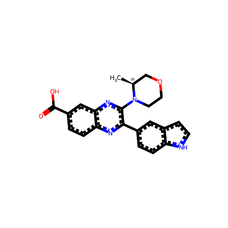 C[C@H]1COCCN1c1nc2cc(C(=O)O)ccc2nc1-c1ccc2[nH]ccc2c1